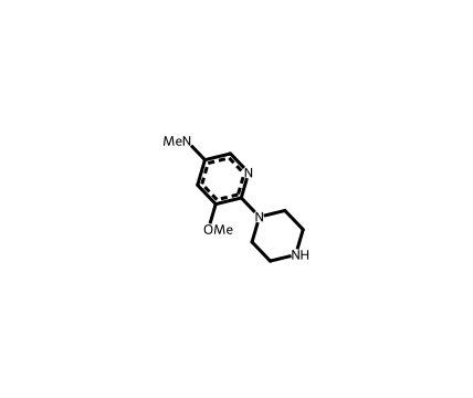 CNc1cnc(N2CCNCC2)c(OC)c1